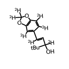 [2H]/C(=C\C([2H])(O)C(C)(C)C)c1c([2H])c([2H])c2c(c1[2H])OC([2H])([2H])O2